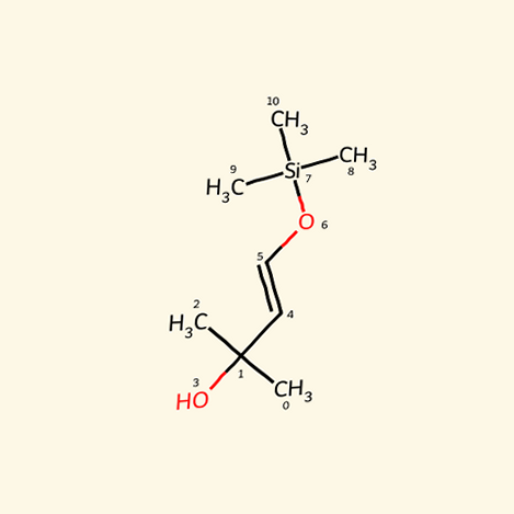 CC(C)(O)C=CO[Si](C)(C)C